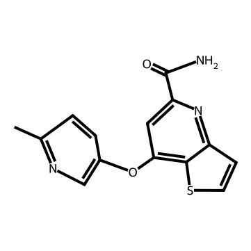 Cc1ccc(Oc2cc(C(N)=O)nc3ccsc23)cn1